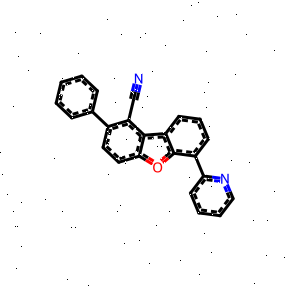 N#Cc1c(-c2ccccc2)ccc2oc3c(-c4ccccn4)cccc3c12